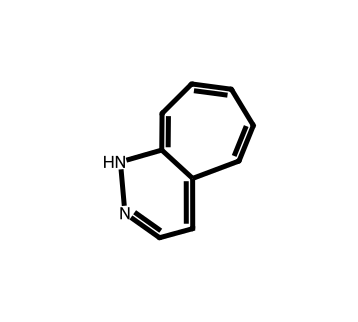 C1=CC=C2NN=CC=C2C=C1